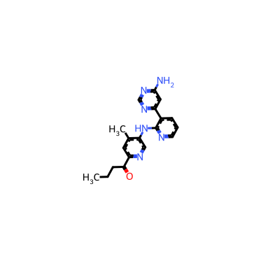 CCCC(=O)c1cc(C)c(Nc2ncccc2-c2cc(N)ncn2)cn1